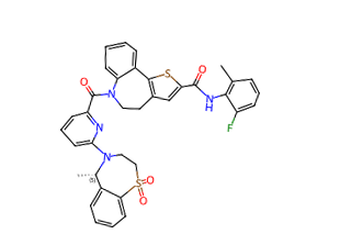 Cc1cccc(F)c1NC(=O)c1cc2c(s1)-c1ccccc1N(C(=O)c1cccc(N3CCS(=O)(=O)c4ccccc4[C@@H]3C)n1)CC2